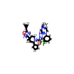 CC(C)N1CCN([C@H]2CCCC(F)(F)[C@@H]2NC(=O)N2CCC(C)(c3noc(C4CC4)n3)CC2C2CCCC2)CC1